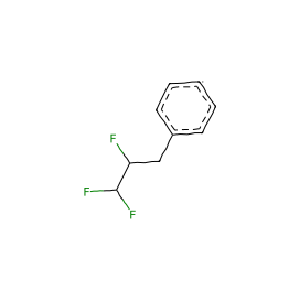 FC(F)C(F)Cc1cc[c]cc1